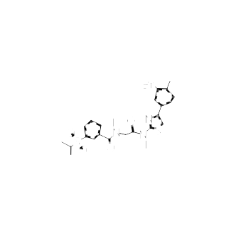 Cc1ccc(-c2csc(NC(=O)CNC(=O)c3cccc(S(=O)(=O)C(C)C)c3)n2)cc1Br